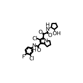 O=C(N[C@H]1CCC[C@H]1O)C(=O)c1c(Cl)c(C(=O)Nc2ccc(F)c(Cl)c2)c2n1CCC2